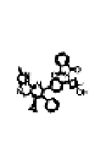 Cc1cc2ncc3c(C4CC4)c(-c4ccccc4)c(-c4ccc([C@]5(N6C(=O)c7ccccc7C6=O)C[C@@](C)(O)C5)cc4)nc3n2n1